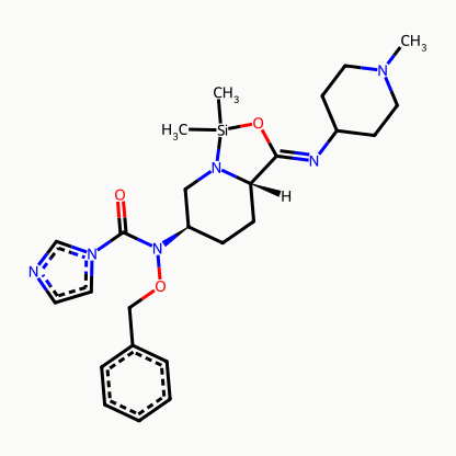 CN1CCC(/N=C2\O[Si](C)(C)N3C[C@H](N(OCc4ccccc4)C(=O)n4ccnc4)CC[C@@H]23)CC1